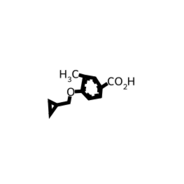 Cc1cc(C(=O)O)ccc1OCC1CC1